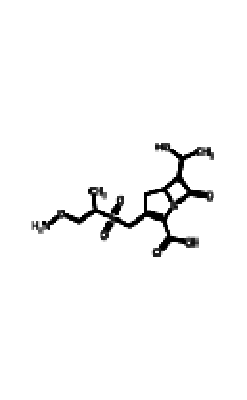 CC(O)C1C(=O)N2C(C(=O)O)=C(CS(=O)(=O)C(C)CON)CC12